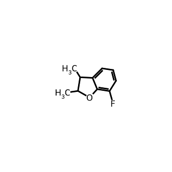 CC1Oc2c(F)cccc2C1C